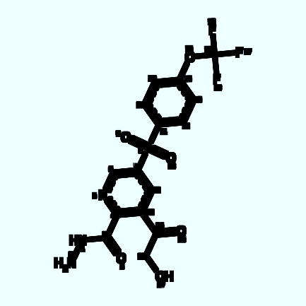 NNC(=O)c1ncc(S(=O)(=O)c2ccc(OC(F)(F)F)cc2)cc1C(=O)CO